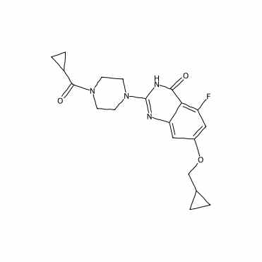 O=C(C1CC1)N1CCN(c2nc3cc(OCC4CC4)cc(F)c3c(=O)[nH]2)CC1